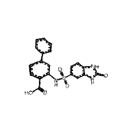 O=C(O)c1ccc(-c2ccccc2)cc1NS(=O)(=O)c1ccc2[nH]c(=O)[nH]c2c1